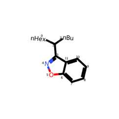 CCCCCCC(CCCC)c1noc2ccccc12